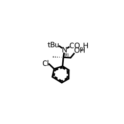 CC(C)(C)N(C(=O)O)[C@@](C)(CO)c1ccccc1Cl